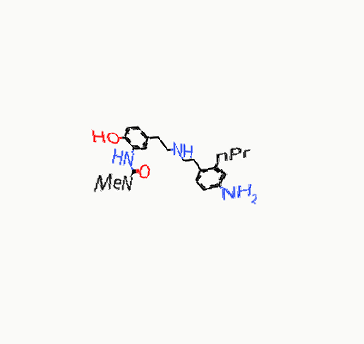 CCCc1cc(N)ccc1CCNCCc1ccc(O)c(NC(=O)NC)c1